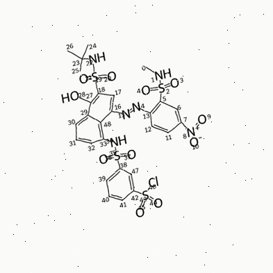 CNS(=O)(=O)c1cc([N+](=O)[O-])ccc1N=Nc1cc(S(=O)(=O)NC(C)(C)C)c(O)c2cccc(NS(=O)(=O)c3cccc(S(=O)(=O)Cl)c3)c12